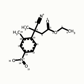 CCOC(=O)CC(C)(C#N)c1ccc([N+](=O)[O-])cc1C